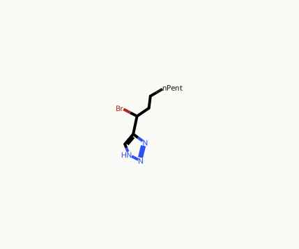 CCCCCCCC(Br)c1c[nH]nn1